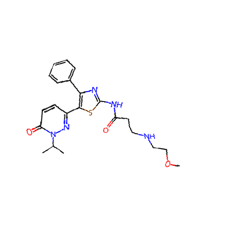 COCCNCCC(=O)Nc1nc(-c2ccccc2)c(-c2ccc(=O)n(C(C)C)n2)s1